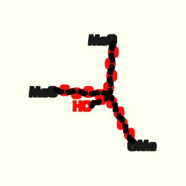 COCCOCCOCCOCCOCC(COCCCO)(COCCOCCOCCOCCOC)COCCOCCOCCOCCOC